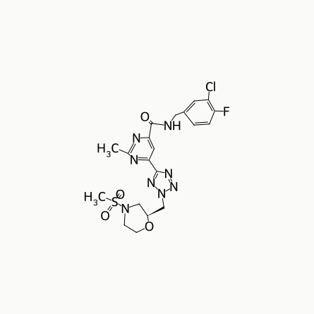 Cc1nc(C(=O)NCc2ccc(F)c(Cl)c2)cc(-c2nnn(C[C@@H]3CN(S(C)(=O)=O)CCO3)n2)n1